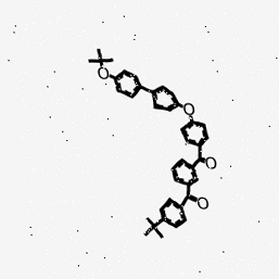 CC(C)(C)Oc1ccc(-c2ccc(Oc3ccc(C(=O)c4cccc(C(=O)c5ccc(C(C)(C)C)cc5)c4)cc3)cc2)cc1